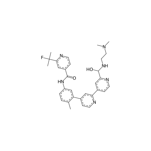 Cc1ccc(NC(=O)c2ccnc(C(C)(C)F)c2)cc1-c1ccnc(-c2ccnc(C(O)NCCN(C)C)c2)c1